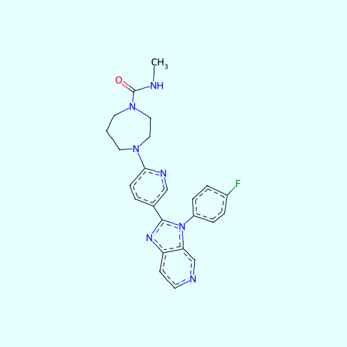 CNC(=O)N1CCCN(c2ccc(-c3nc4ccncc4n3-c3ccc(F)cc3)cn2)CC1